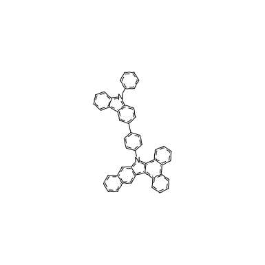 c1ccc(-n2c3ccccc3c3cc(-c4ccc(-n5c6cc7ccccc7cc6c6c7ccccc7c7ccccc7c65)cc4)ccc32)cc1